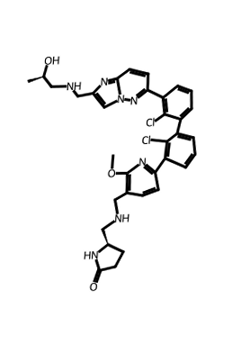 COc1nc(-c2cccc(-c3cccc(-c4ccc5nc(CNC[C@@H](C)O)cn5n4)c3Cl)c2Cl)ccc1CNC[C@H]1CCC(=O)N1